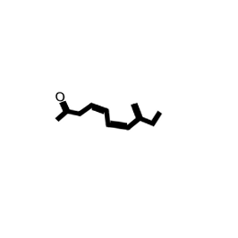 C=C(/C=C\C=C/CC(C)=O)CC